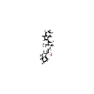 CCC1C(CCC(=O)C2CCc3ccccc32)=CC=C1C1=CCc2ccccc21